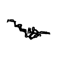 CO[C@@H]1CO[C@H]2[C@@H]1OC[C@H]2OCCOCCO